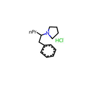 CCCC(Cc1ccccc1)N1CCCC1.Cl